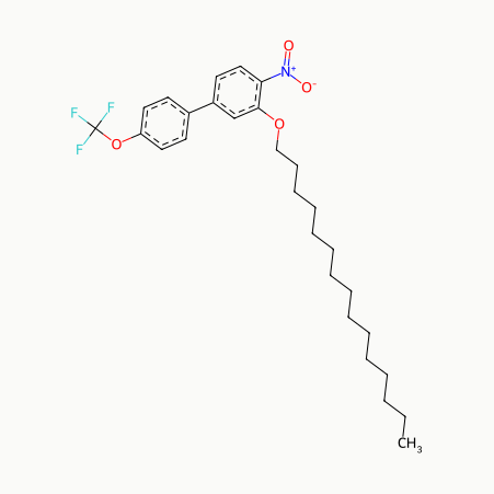 CCCCCCCCCCCCCCCOc1cc(-c2ccc(OC(F)(F)F)cc2)ccc1[N+](=O)[O-]